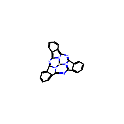 c1ccc2c(c1)C1=Nc3c4ccccc4c4n3B3n5c(c6ccccc6c5=N4)=NC2=[N+]31